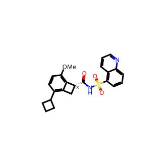 COc1ccc(C2CCC2)c2c1[C@H](C(=O)NS(=O)(=O)c1cccc3ncccc13)C2